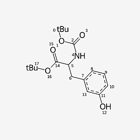 CC(C)(C)OC(=O)NC(Cc1cccc(O)c1)C(=O)OC(C)(C)C